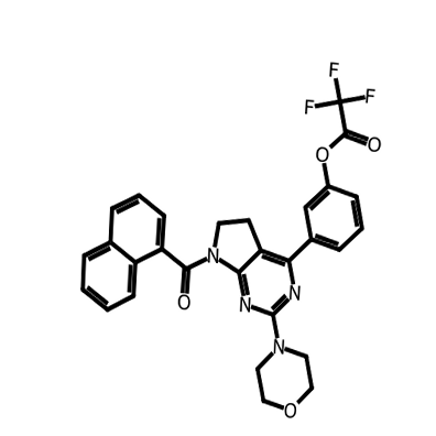 O=C(c1cccc2ccccc12)N1CCc2c(-c3cccc(OC(=O)C(F)(F)F)c3)nc(N3CCOCC3)nc21